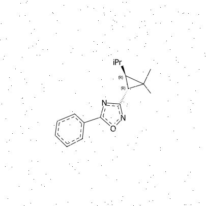 CC(C)[C@@H]1[C@@H](c2noc(-c3ccccc3)n2)C1(C)C